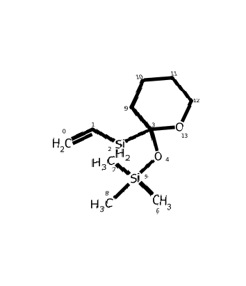 C=C[SiH2]C1(O[Si](C)(C)C)CCCCO1